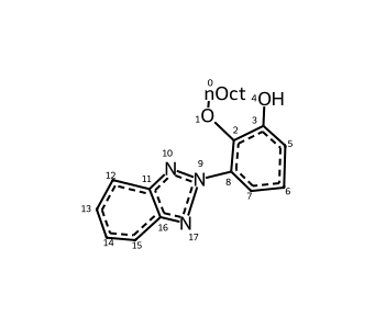 CCCCCCCCOc1c(O)cccc1-n1nc2ccccc2n1